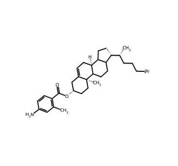 Cc1cc(N)ccc1C(=O)O[C@H]1CC[C@@]2(C)C(=CC[C@H]3C4CC[C@H]([C@H](C)CCCC(C)C)C4CCC32)C1